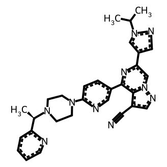 CC(C)n1cc(-c2cn3ncc(C#N)c3c(-c3ccc(N4CCN([C@H](C)c5ccccn5)CC4)nc3)n2)cn1